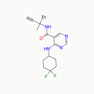 C#CC(C)(CC)NC(=O)c1cncnc1NC1CCC(F)(F)CC1